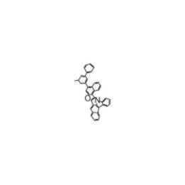 CC1C=C(c2ccccc2)C=C(c2cc3oc4c5cc6ccccc6c6c7ccccc7n(c56)c4c3c3ccccc23)C1